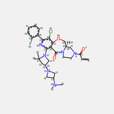 C=CC(=O)N1CCN2C(=O)c3c(N4C[C@@H](N5CC(N(C)C)C5)CC4(C)C)nc(-c4ccccc4F)c(Cl)c3OC[C@H]2C1